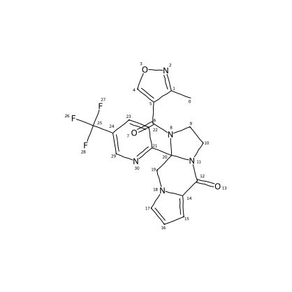 Cc1nocc1C(=O)N1CCN2C(=O)c3cccn3CC12c1ccc(C(F)(F)F)cn1